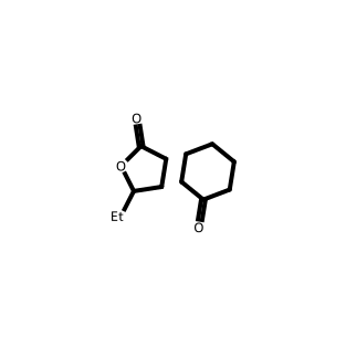 CCC1CCC(=O)O1.O=C1CCCCC1